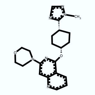 Cn1ncnc1[C@H]1CC[C@@H](Oc2nc(N3CCOCC3)cc3ncccc23)CC1